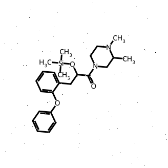 CC1CN(C(=O)[C](Cc2ccccc2Oc2ccccc2)O[Si](C)(C)C)CCN1C